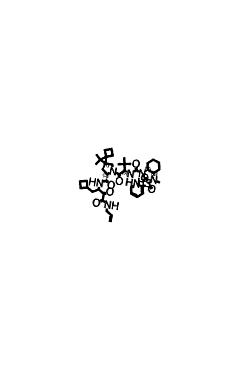 C=CCNC(=O)C(=O)C(CC1CCC1)NC(=O)[C@@H]1C[C@@]2(CN1C(=O)[C@@H](NC(=O)N[C@H]1CCCC[C@@H]1N(C)S(=O)(=O)c1ccccn1)C(C)(C)C)C(C)(C)C21CCC1